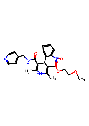 COCCOC(=O)C1=C(C)NC(C)=C(C(=O)NCc2ccncc2)C1c1ccccc1[N+](=O)[O-]